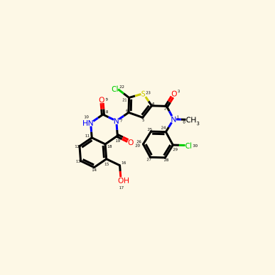 CN(C(=O)c1cc(-n2c(=O)[nH]c3cccc(CO)c3c2=O)c(Cl)s1)c1ccccc1Cl